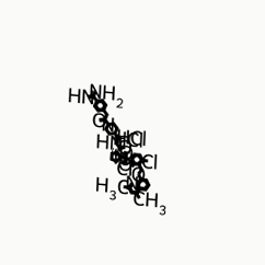 Cc1cc(C)c2cccc(OCc3c(Cl)ccc(S(=O)(=O)N4CCC[C@H]4C(=O)NCC4CCN(C(=O)Cc5ccc(C(=N)N)cc5)CC4)c3Cl)c2n1.Cl.Cl